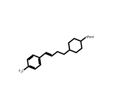 CCCCCC1CCC(CCC=Cc2ccc(C(F)(F)F)cc2)CC1